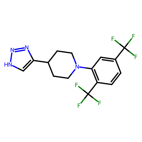 FC(F)(F)c1ccc(C(F)(F)F)c(N2CCC(c3c[nH]nn3)CC2)c1